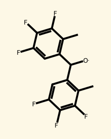 Cc1c(C([O])c2cc(F)c(F)c(F)c2C)cc(F)c(F)c1F